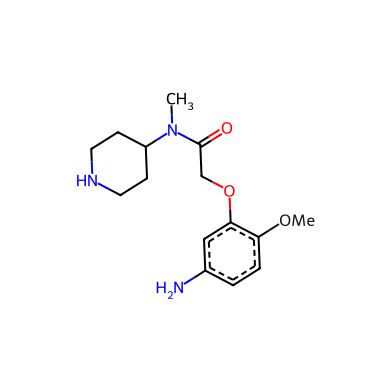 COc1ccc(N)cc1OCC(=O)N(C)C1CCNCC1